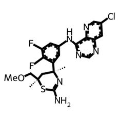 COC[C@@]1(C)C[C@@](C)(c2cc(Nc3ncnc4cc(Cl)cnc34)cc(F)c2F)N=C(N)S1